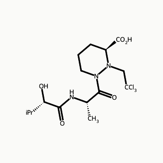 CC(C)[C@H](O)C(=O)N[C@@H](C)C(=O)N1CCC[C@@H](C(=O)O)N1CC(Cl)(Cl)Cl